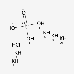 Cl.O=P(O)(O)O.[KH].[KH].[KH].[KH].[KH]